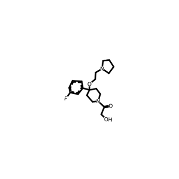 O=C(CO)N1CCC(OCCN2CCCC2)(c2cccc(F)c2)CC1